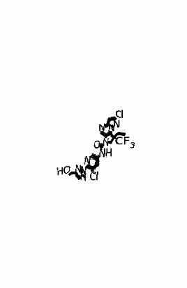 C=C[C@@]1(C(F)(F)F)CN(C(=O)Nc2cnc(-n3ncc(CO)n3)c(Cl)c2)c2cnc3cc(Cl)nn3c21